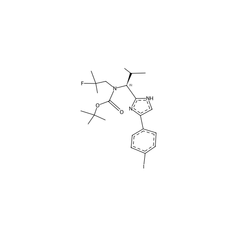 CC(C)[C@@H](c1nc(-c2ccc(I)cc2)c[nH]1)N(CC(C)(C)F)C(=O)OC(C)(C)C